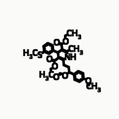 CCOC(=O)C1=C(C)NC(CCC(OC=O)c2ccc(OC)cc2)=C(C(=O)OCC)C1c1cccc(SC)c1